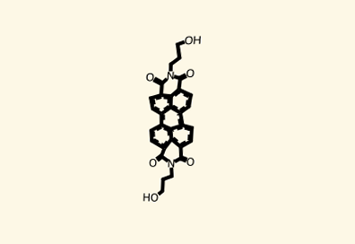 O=C1c2ccc3c4ccc5c6c(ccc(c7ccc(c2c37)C(=O)N1CCCO)c64)C(=O)N(CCCO)C5=O